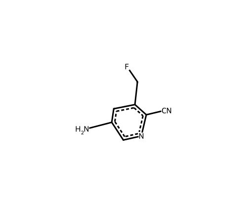 N#Cc1ncc(N)cc1CF